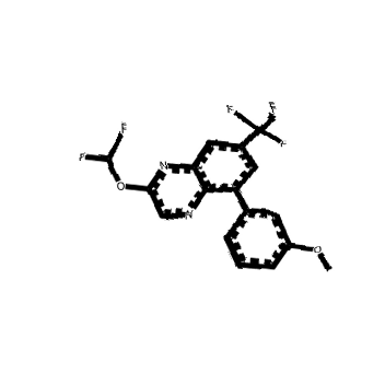 COc1cccc(-c2cc(C(F)(F)F)cc3nc(OC(F)F)cnc23)c1